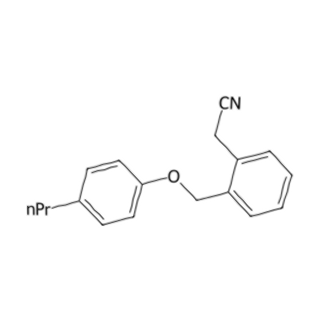 CCCc1ccc(OCc2ccccc2CC#N)cc1